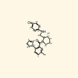 Cc1ccc(-n2nccn2)c(C(=O)N2CCC[C@@H](C)C2CNc2ncc(Cl)cn2)n1